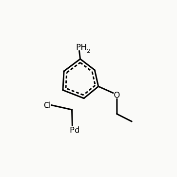 CCOc1cccc(P)c1.Cl[CH2][Pd]